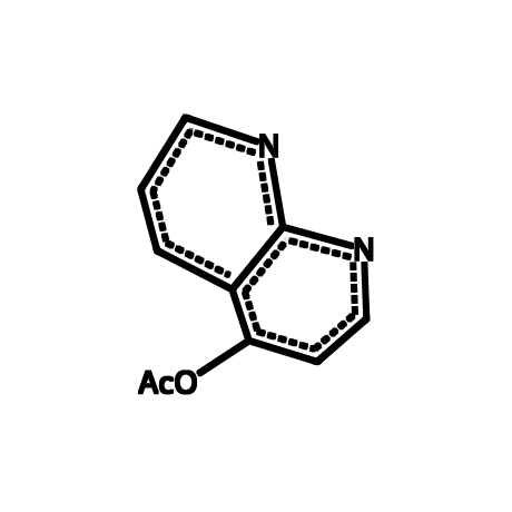 CC(=O)Oc1ccnc2ncccc12